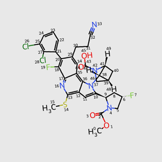 COC(=O)N1C[C@@H](F)C[C@@H]1c1cc2c(SC)nc3c(F)c(-c4cccc(Cl)c4Cl)c(CCC#N)cc3c2n1[C@H]1[C@@H]2C[C@H]1N(C(=O)O)C2